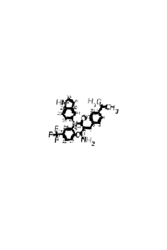 CC(C)c1ccc(/C=C(/C(N)=O)C(=O)N(c2cccc(C(F)(F)F)c2)c2ccc3[nH]ccc3c2)cc1